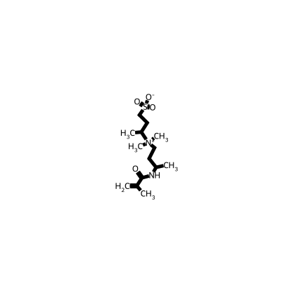 C=C(C)C(=O)NC(C)CC[N+](C)(C)C(C)CCS(=O)(=O)[O-]